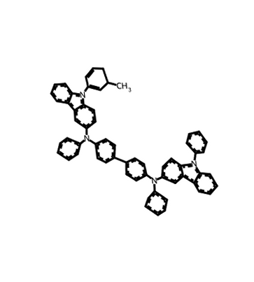 CC1C=C(n2c3ccccc3c3cc(N(c4ccccc4)c4ccc(-c5ccc(N(c6ccccc6)c6ccc7c(c6)c6ccccc6n7-c6ccccc6)cc5)cc4)ccc32)C=CC1